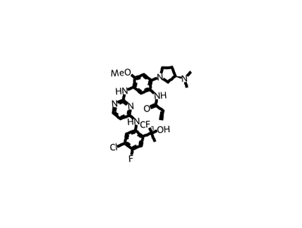 C=CC(=O)Nc1cc(Nc2nccc(Nc3cc(Cl)c(F)cc3C(C)(O)C(F)(F)F)n2)c(OC)cc1N1CC[C@@H](N(C)C)C1